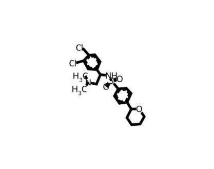 CN(C)CC(NS(=O)(=O)c1ccc(C2CCCCO2)cc1)c1ccc(Cl)c(Cl)c1